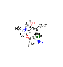 CCC(C)[C@H](N)C(=O)OC(C)=O.C[N+](C)(C)C[C@H](O)CC(=O)[O-].Cl